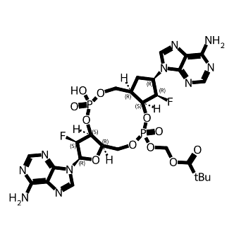 CC(C)(C)C(=O)OCOP1(=O)OC[C@H]2O[C@@H](n3cnc4c(N)ncnc43)[C@@H](F)[C@H]2OP(=O)(O)OC[C@H]2C[C@@H](n3cnc4c(N)ncnc43)[C@@H](F)[C@H]2O1